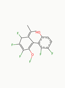 CC(C)=C1C(c2c(O)ccc(F)c2F)=C(OF)C(F)=C(F)C1F